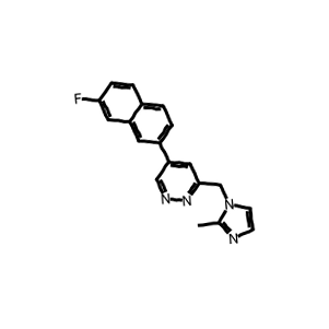 Cc1nccn1Cc1cc(-c2ccc3ccc(F)cc3c2)cnn1